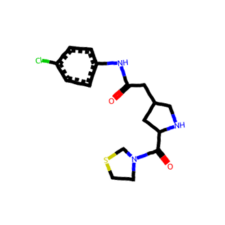 O=C(CC1CNC(C(=O)N2CCSC2)C1)Nc1ccc(Cl)cc1